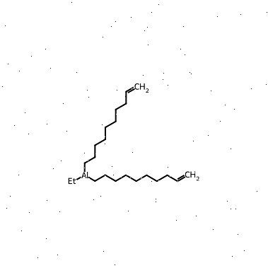 C=CCCCCCCC[CH2][Al]([CH2]C)[CH2]CCCCCCCC=C